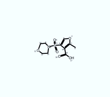 Cc1occ(S(=O)(=O)N2CCOCC2)c1C(=O)O